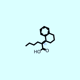 CCCC/C(C(=O)O)=C1/CCCc2ccccc21